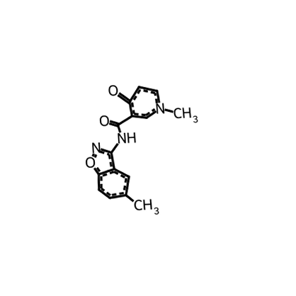 Cc1ccc2onc(NC(=O)c3cn(C)ccc3=O)c2c1